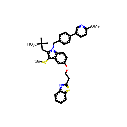 COc1ccc(-c2ccc(Cn3c(CC(C)(C)C(=O)O)c(SC(C)(C)C)c4cc(OCCc5nc6ccccc6s5)ccc43)cc2)cn1